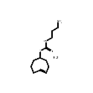 Cl.NCCCNC(=O)OC1CC/C=C/CCC1